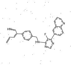 C=C/C=C(\C=N)c1ccc(CNc2ncnc(-c3ccc4ncccc4c3)c2F)cc1